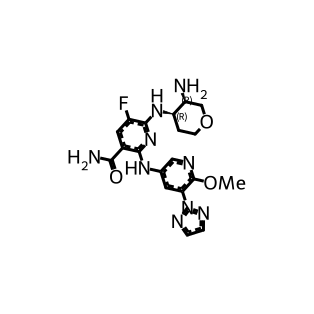 COc1ncc(Nc2nc(N[C@@H]3CCOC[C@@H]3N)c(F)cc2C(N)=O)cc1-n1nccn1